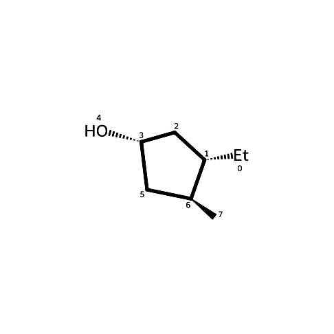 CC[C@H]1C[C@@H](O)C[C@@H]1C